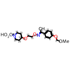 COCOc1ccc(C(C)=NOCCOC2CCN(C(=O)O)CC2)cc1